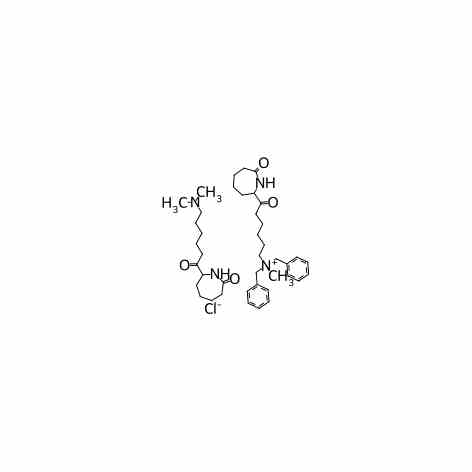 CN(C)CCCCCC(=O)C1CCCCC(=O)N1.C[N+](CCCCCC(=O)C1CCCCC(=O)N1)(Cc1ccccc1)Cc1ccccc1.[Cl-]